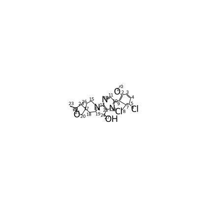 COc1ccc(Cl)c(Cl)c1-c1cnc(N2CCC3(CC2)CO[C@@H](C)C3)c(CO)n1